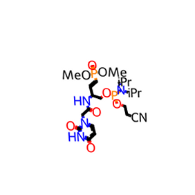 COP(=O)(/C=C/C(COP(OCCC#N)N(C(C)C)C(C)C)NC(=O)Cn1ccc(=O)[nH]c1=O)OC